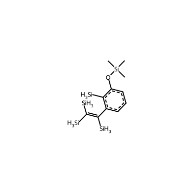 C[Si](C)(C)Oc1cccc(C([SiH3])=C([SiH3])[SiH3])c1[SiH3]